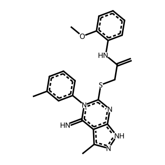 C=C(CSc1nc2[nH]nc(C)c2c(=N)n1-c1cccc(C)c1)Nc1ccccc1OC